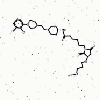 CCCOCCCSC1CC(=O)N(CCCCCC(=O)N[C@H]2CC[C@H](CCN3CCN(c4cccc(Cl)c4Cl)CC3)CC2)C1=O